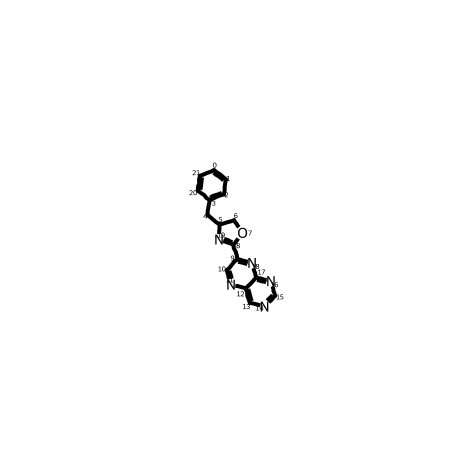 c1ccc(CC2COC(c3cnc4cncnc4n3)=N2)cc1